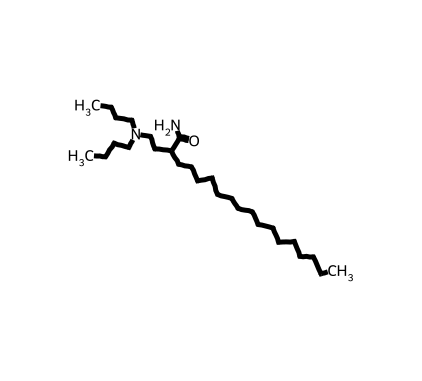 CCCCCCCCCCCCCCCCC(CCN(CCCC)CCCC)C(N)=O